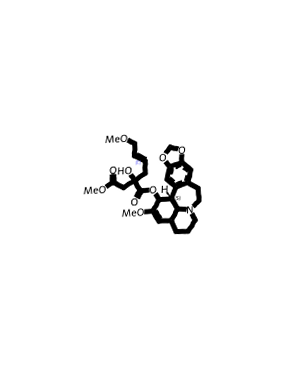 COC/C=C/CC(O)(CC(=O)OC)C(=O)OC1C(OC)=CC2CCCN3CCc4cc5c(cc4[C@H]1C23)OCO5